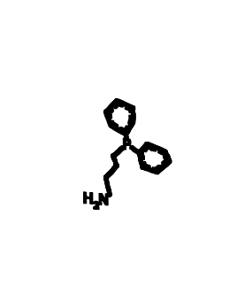 NCCCCP(c1ccccc1)c1ccccc1